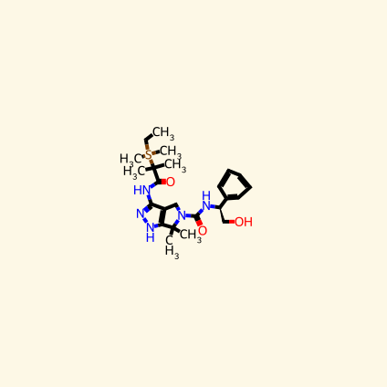 CCS(C)(C)C(C)(C)C(=O)Nc1n[nH]c2c1CN(C(=O)N[C@H](CO)c1ccccc1)C2(C)C